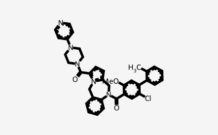 COc1cc(-c2ccccc2C)c(Cl)cc1C(=O)N1Cc2ccc(C(=O)N3CCN(c4ccncc4)CC3)n2Cc2ccccc21